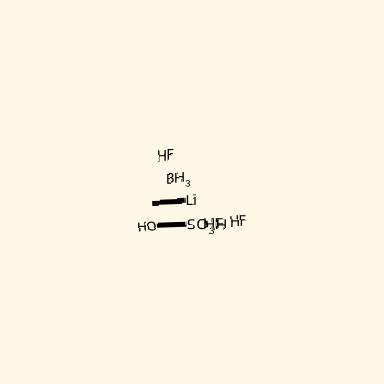 B.F.F.F.O=S(=O)(O)O.[Li][CH3]